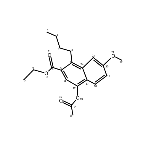 CCCCc1c(C(=O)OCC)cc(OC(C)=O)c2ccc(OC)cc12